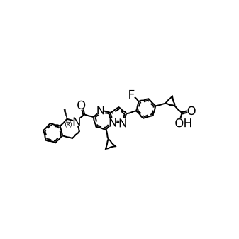 C[C@@H]1c2ccccc2CCN1C(=O)c1cc(C2CC2)n2nc(-c3ccc(C4CC4C(=O)O)cc3F)cc2n1